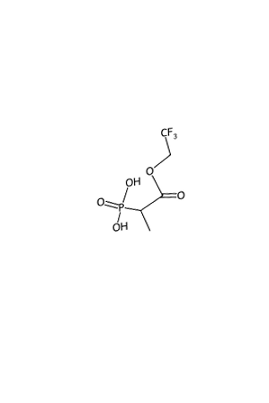 CC(C(=O)OCC(F)(F)F)P(=O)(O)O